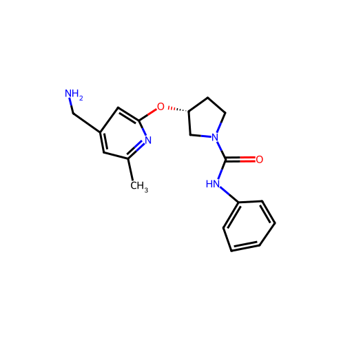 Cc1cc(CN)cc(O[C@@H]2CCN(C(=O)Nc3ccccc3)C2)n1